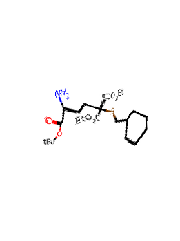 CCOC(=O)C(CCC(N)C(=O)OC(C)(C)C)(SCC1CCCCC1)C(=O)OCC